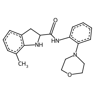 Cc1cccc2c1NC(C(=O)Nc1ccccc1N1CCOCC1)C2